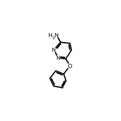 Nc1ccc(Oc2ccccc2)nn1